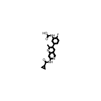 Cc1nc2cc(NC(=O)C3CC3)ncc2cc1-c1ccc(F)c(NC(=O)O)c1